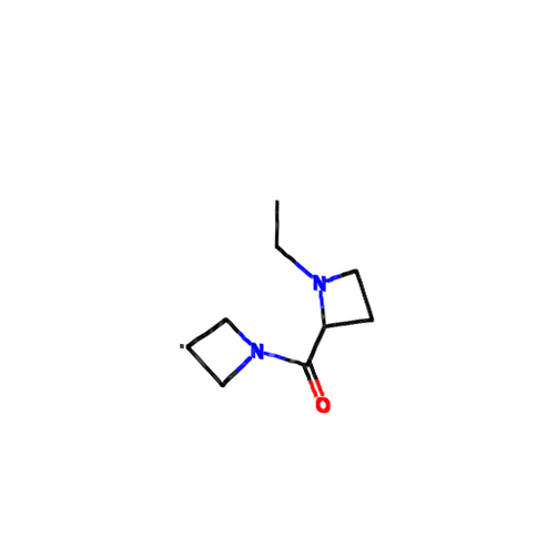 CCN1CCC1C(=O)N1C[CH]C1